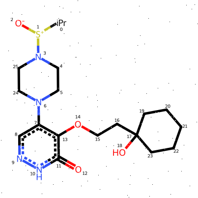 CC(C)[S+]([O-])N1CCN(c2cn[nH]c(=O)c2OCCC2(O)CCCCC2)CC1